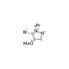 COc1cnn(C(C)C)c1Br